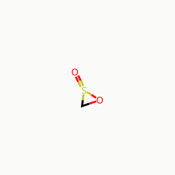 O=S1CO1